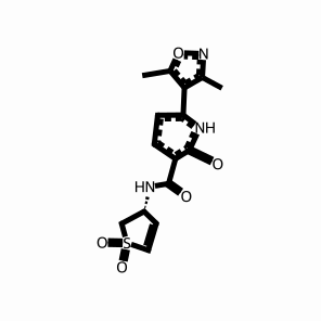 Cc1noc(C)c1-c1ccc(C(=O)N[C@@H]2C=CS(=O)(=O)C2)c(=O)[nH]1